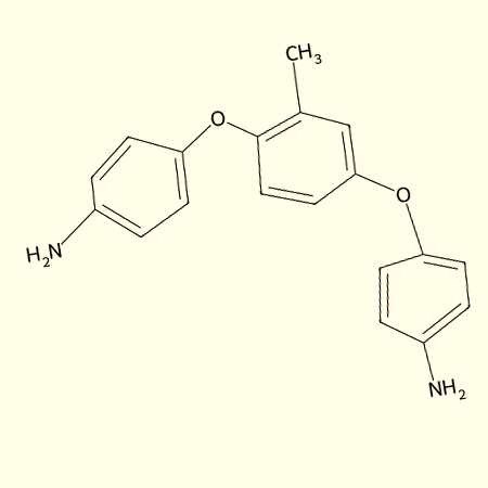 Cc1cc(Oc2ccc(N)cc2)ccc1Oc1ccc(N)cc1